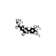 CCOC(=O)c1cc2c(=O)[nH]c(-c3ccc(C)c(C)c3)cn2n1